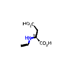 C=CN[C@@H](CC(=O)O)C(=O)O